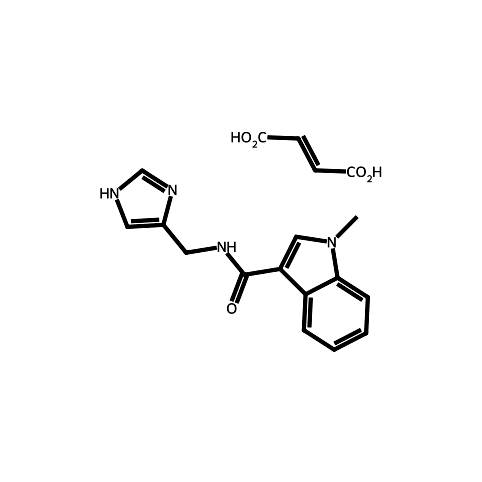 Cn1cc(C(=O)NCc2c[nH]cn2)c2ccccc21.O=C(O)C=CC(=O)O